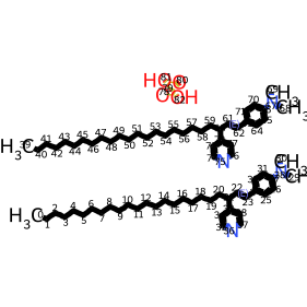 CCCCCCCCCCCCCCCCCCCCCC(/C=C/c1ccc(N(C)C)cc1)c1ccncc1.CCCCCCCCCCCCCCCCCCCCCC(/C=C/c1ccc(N(C)C)cc1)c1ccncc1.O=S(=O)(O)O